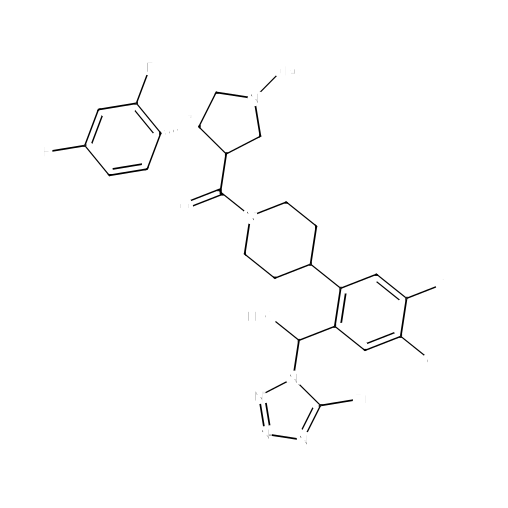 CCc1nnnn1C(C)c1cc(Cl)c(C)cc1C1CCN(C(=O)C2CN(C(C)(C)C)C[C@H]2c2ccc(F)cc2F)CC1